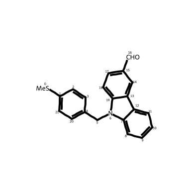 CSc1ccc(Cn2c3ccccc3c3cc(C=O)ccc32)cc1